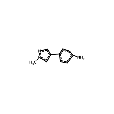 Cn1cc(-c2ccc(N)cc2)cn1